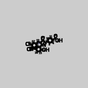 O=C(O)c1ccc(N2N=C(c3cc(Br)ccc3O)/C(=C\c3ccc(Cl)c(Cl)c3)C2=O)cc1